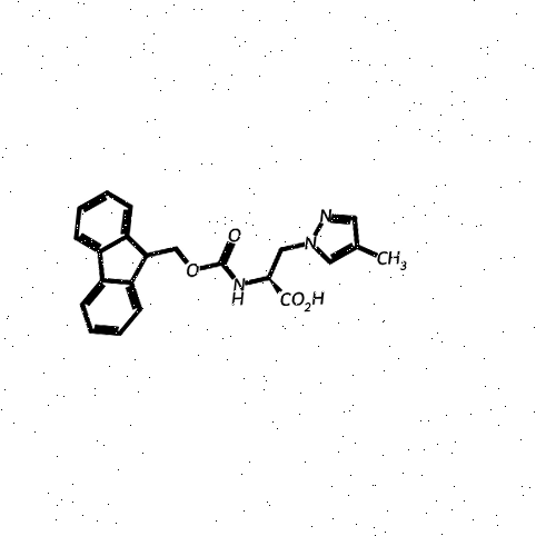 Cc1cnn(C[C@H](NC(=O)OCC2c3ccccc3-c3ccccc32)C(=O)O)c1